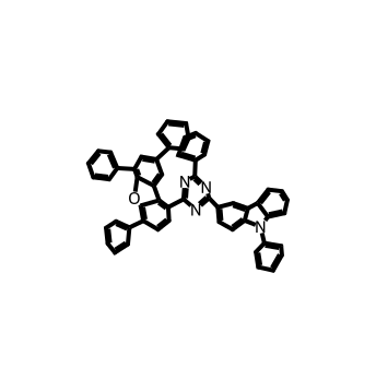 c1ccc(-c2cc(-c3ccccc3)c3oc4c(-c5ccccc5)ccc(-c5nc(-c6ccccc6)nc(-c6ccc7c(c6)c6ccccc6n7-c6ccccc6)n5)c4c3c2)cc1